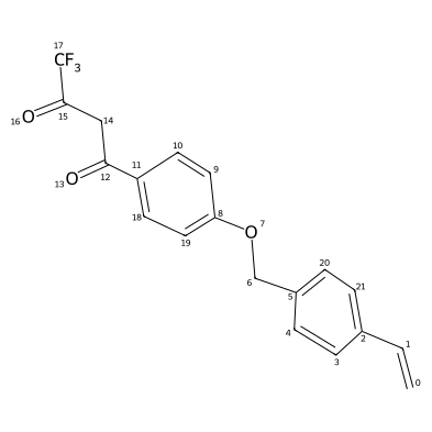 C=Cc1ccc(COc2ccc(C(=O)CC(=O)C(F)(F)F)cc2)cc1